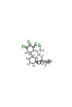 CCCC(F)CC(CC(C)F)c1c(C(=O)O)cccc1-c1cc(F)c(F)c(F)c1